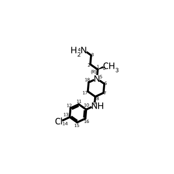 C[C@H](CCN)N1CCC(Nc2ccc(Cl)cc2)CC1